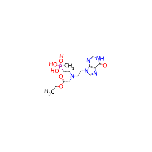 CCOC(=O)CN(CCn1cnc2c(=O)[nH]cnc21)CCP(C)(O)(O)O